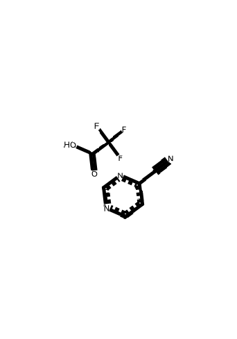 N#Cc1ccncn1.O=C(O)C(F)(F)F